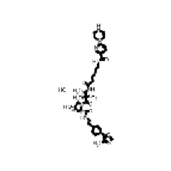 Cc1ncsc1-c1ccc(CCNC(=O)[C@@H]2C[C@@H](O)CN2C(=O)C(C)(C)[C@H](C)NC(=O)CCCCCNC(=O)c2ccc(N3CCNCC3)nc2)cc1.Cl